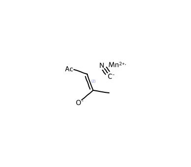 CC(=O)/C=C(/C)[O-].[C-]#N.[Mn+2]